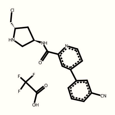 N#Cc1cccc(-c2ccnc(C(=O)N[C@H]3CN[C@H](CCl)C3)c2)c1.O=C(O)C(F)(F)F